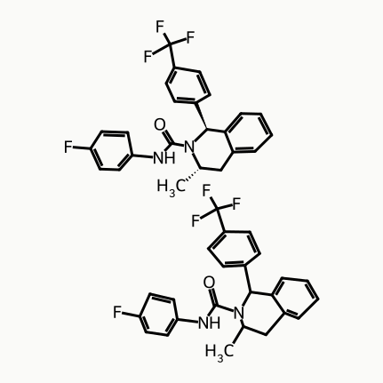 CC1Cc2ccccc2C(c2ccc(C(F)(F)F)cc2)N1C(=O)Nc1ccc(F)cc1.C[C@H]1Cc2ccccc2[C@H](c2ccc(C(F)(F)F)cc2)N1C(=O)Nc1ccc(F)cc1